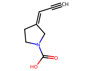 C#CC=C1CCN(C(=O)O)C1